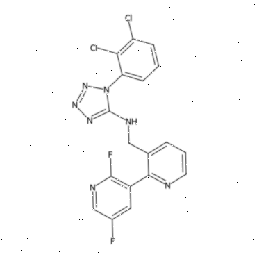 Fc1cnc(F)c(-c2ncccc2CNc2nnnn2-c2cccc(Cl)c2Cl)c1